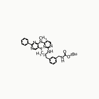 C[C@@H](Cc1cccc(CNC(=O)OC(C)(C)C)c1)Nc1nccc(N(C)c2nc(-c3ccccc3)ncc2F)n1